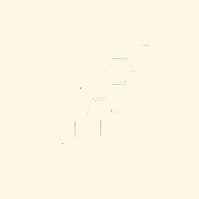 COc1ccc(C2=C(C(C)(C)C)c3cc(C(C)(C)C)ccc3C2=O)cc1